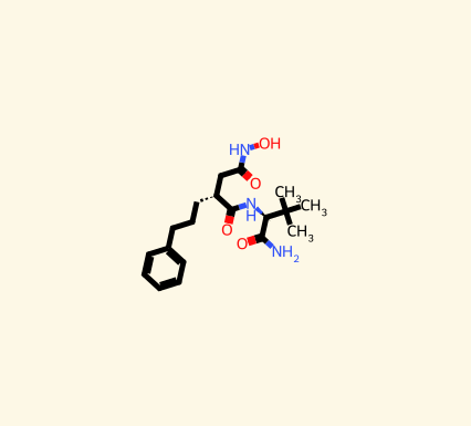 CC(C)(C)[C@H](NC(=O)[C@H](CCCc1ccccc1)CC(=O)NO)C(N)=O